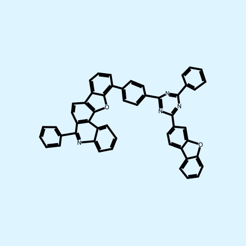 c1ccc(-c2nc(-c3ccc(-c4cccc5c4oc4c5ccc5c(-c6ccccc6)nc6ccccc6c54)cc3)nc(-c3ccc4c(c3)oc3ccccc34)n2)cc1